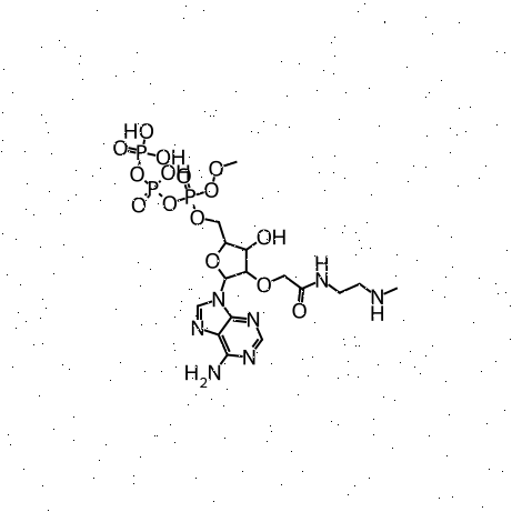 CNCCNC(=O)COC1C(O)C(COP(=O)(OOC)OP(=O)(O)OP(=O)(O)O)OC1n1cnc2c(N)ncnc21